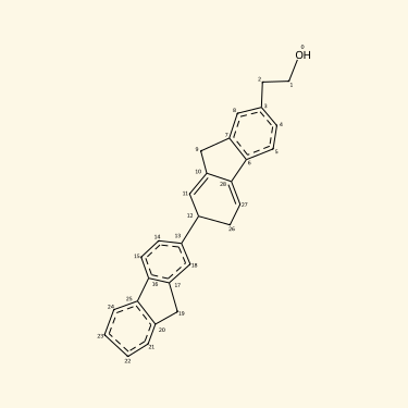 OCCc1ccc2c(c1)CC1=CC(c3ccc4c(c3)Cc3ccccc3-4)CC=C12